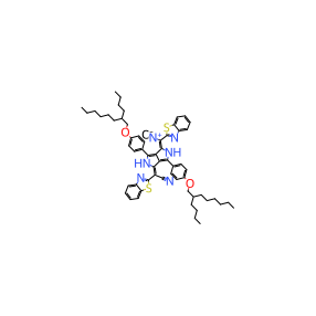 [C-]#[N+]/C(c1nc2ccccc2s1)=c1/[nH]c(-c2ccc(OCC(CCCC)CCCCCC)cc2)c2/c(=C(\C#N)c3nc4ccccc4s3)[nH]c(-c3ccc(OCC(CCCC)CCCCCC)cc3)c12